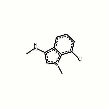 CNc1cn(C)c2c(Cl)cccc12